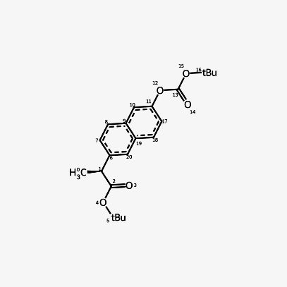 C[C@H](C(=O)OC(C)(C)C)c1ccc2cc(OC(=O)OC(C)(C)C)ccc2c1